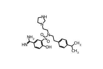 CC(C)c1ccc(CCN(CCN2CCNC2)S(=O)(=O)c2cc(C(=N)N)ccc2O)cc1